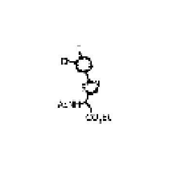 CCOC(=O)CC(NC(C)=O)c1cnc(-c2ccc(F)c(Cl)c2)s1